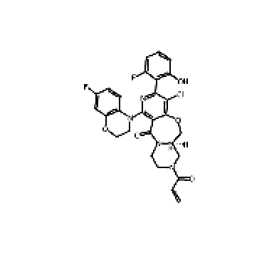 C=CC(=O)N1CCN2C(=O)c3c(N4CCOc5cc(F)ccc54)nc(-c4c(O)cccc4F)c(Cl)c3OC[C@H]2C1